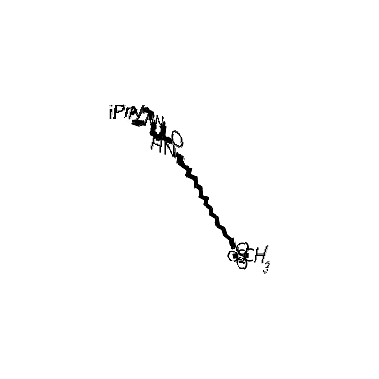 CC(C)N1CCN(c2ccc(C(=O)NCCCCCCCCCCCCCCCCCCOS(C)(=O)=O)cn2)CC1